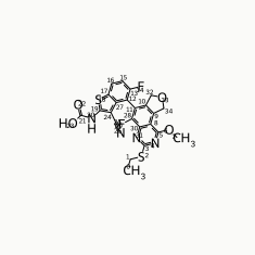 CCSc1nc(OC)c2c3c(c(-c4c(F)ccc5sc(NC(=O)O)c(C#N)c45)c(F)c2n1)COC3